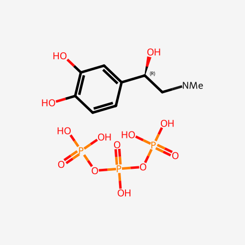 CNC[C@H](O)c1ccc(O)c(O)c1.O=P(O)(O)OP(=O)(O)OP(=O)(O)O